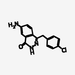 Nc1ccc2c(Cc3ccc(Cl)cc3)n[nH]c(=O)c2c1